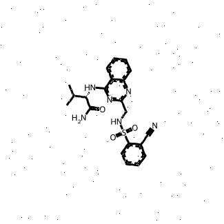 CC(C)[C@H](Nc1nc(CNS(=O)(=O)c2ccccc2C#N)nc2ccccc12)C(N)=O